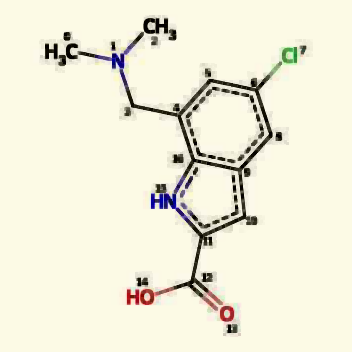 CN(C)Cc1cc(Cl)cc2cc(C(=O)O)[nH]c12